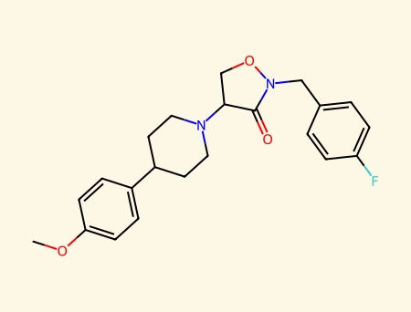 COc1ccc(C2CCN(C3CON(Cc4ccc(F)cc4)C3=O)CC2)cc1